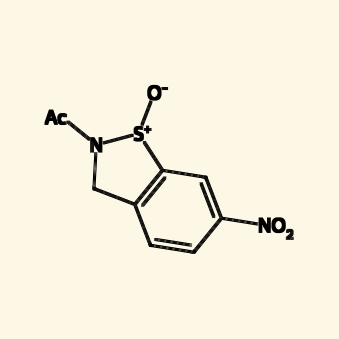 CC(=O)N1Cc2ccc([N+](=O)[O-])cc2[S+]1[O-]